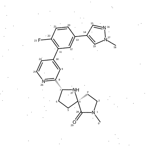 CN1CC[C@@]2(CC[C@H](c3cc(-c4cc(-c5cnn(C)c5)ccc4F)ccn3)N2)C1=O